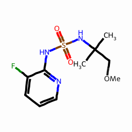 COCC(C)(C)NS(=O)(=O)Nc1ncccc1F